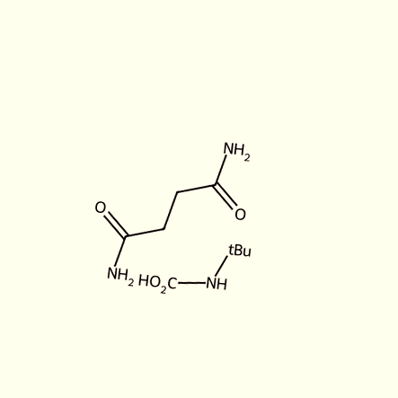 CC(C)(C)NC(=O)O.NC(=O)CCC(N)=O